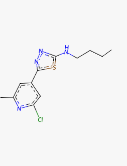 CCCCNc1nnc(-c2cc(C)nc(Cl)c2)s1